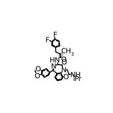 CC(C)NC(=O)CN1C(=O)C(NC(=O)[C@@H](C)Cc2ccc(F)c(F)c2)N=C(c2ccc3c(c2)OCO3)c2ccccc21